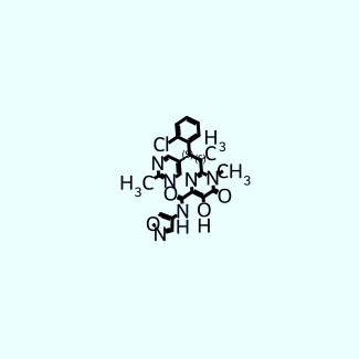 Cc1ncc([C@@H](c2ccccc2Cl)[C@H](C)c2nc(C(=O)Nc3cnoc3)c(O)c(=O)n2C)cn1